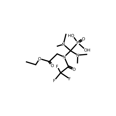 CCOC(=O)CN(C(=O)C(F)(F)F)C(N(C)C)(N(C)C)P(=O)(O)O